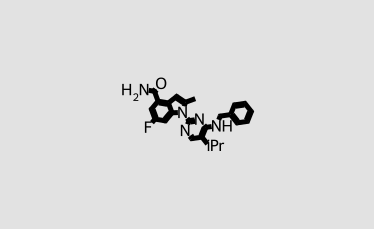 Cc1cc2c(C(N)=O)cc(F)cc2n1-c1ncc(C(C)C)c(NCc2ccccc2)n1